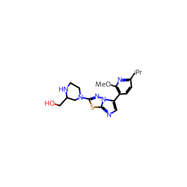 COc1nc(C(C)C)ccc1-c1cnc2sc(N3CCNC(CO)C3)nn12